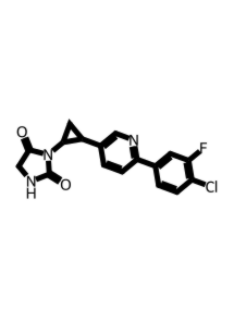 O=C1CNC(=O)N1C1CC1c1ccc(-c2ccc(Cl)c(F)c2)nc1